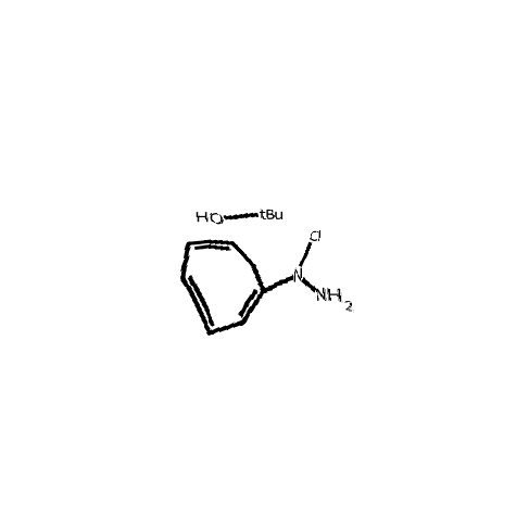 CC(C)(C)O.NN(Cl)c1ccccc1